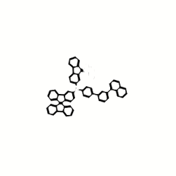 CC1(C)c2ccccc2-c2ccc(N(c3ccc(-c4cccc(-c5cccc6ccccc56)c4)cc3)c3ccc4c(c3)-c3ccccc3C43c4ccccc4-c4ccccc43)cc21